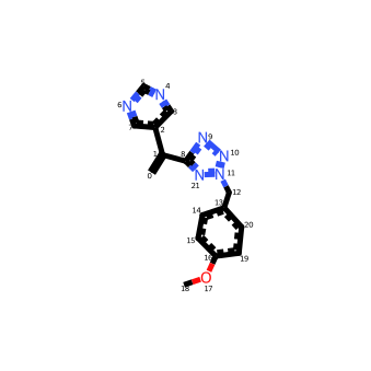 C=C(c1cncnc1)c1nnn(Cc2ccc(OC)cc2)n1